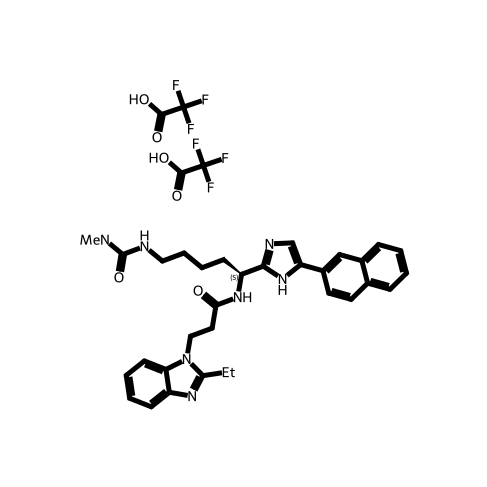 CCc1nc2ccccc2n1CCC(=O)N[C@@H](CCCCNC(=O)NC)c1ncc(-c2ccc3ccccc3c2)[nH]1.O=C(O)C(F)(F)F.O=C(O)C(F)(F)F